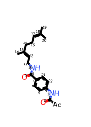 CC(=O)C(=O)Nc1ccc(C(=O)NC/C=C(\C)CCC=C(C)C)cc1